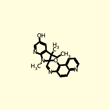 CCC1(C)c2cc(O)cnc2N(C)C12C=Nc1ccc3ncccc3c1O2